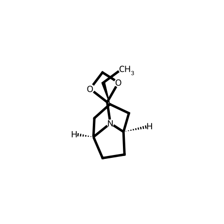 CC[C@H]1C[C@H]2CC[C@@H](C1)N2C1OCO1